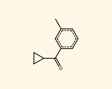 Cc1cccc(C(=O)C2CC2)c1